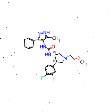 COCCN1C[C@@H](NC(=O)Nc2c(C3=CCCC=C3)n[nH]c2C)[C@H](c2ccc(F)c(F)c2)C1